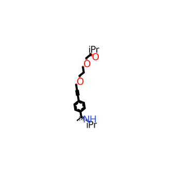 CC(C)N[C@@H](C)c1ccc(C#CCOCCCOCC(=O)C(C)C)cc1